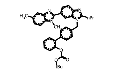 CCCc1nc2ccc(-c3nc4cc(C)ccc4n3C)cc2n1Cc1ccc(-c2ccccc2OC(=O)OC(C)(C)C)cc1